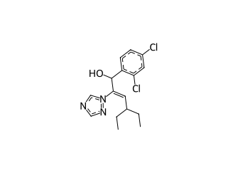 CCC(/C=C(/C(O)c1ccc(Cl)cc1Cl)n1cncn1)CC